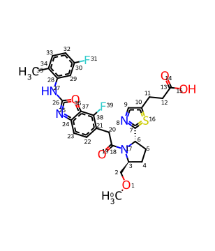 COC[C@@H]1CC[C@@H](c2ncc(CCC(=O)O)s2)N1C(=O)Cc1ccc2nc(Nc3cc(F)ccc3C)oc2c1F